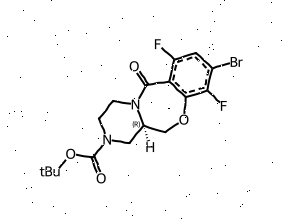 CC(C)(C)OC(=O)N1CCN2C(=O)c3c(F)cc(Br)c(F)c3OC[C@H]2C1